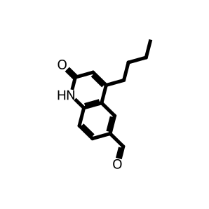 CCCCc1cc(=O)[nH]c2ccc(C=O)cc12